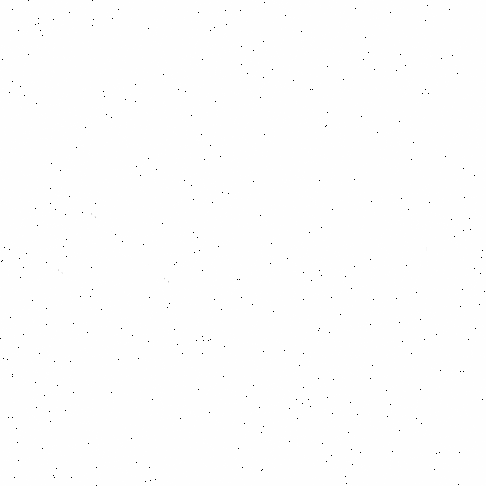 COc1ccc(S(=O)(=O)c2ccc(CCNc3ccc([N+](=O)[O-])c(C#N)c3)cc2)cc1